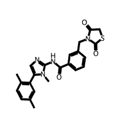 Cc1ccc(C)c(-c2cnc(NC(=O)c3cccc(CN4C(=O)CSC4=O)c3)n2C)c1